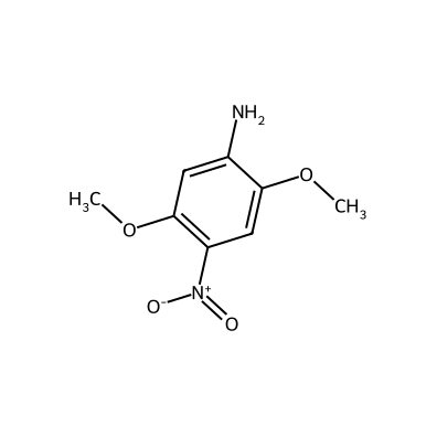 COc1cc([N+](=O)[O-])c(OC)cc1N